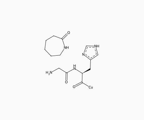 NCC(=O)N[C@@H](Cc1c[nH]cn1)[C](=O)[Cu].O=C1CCCCCN1